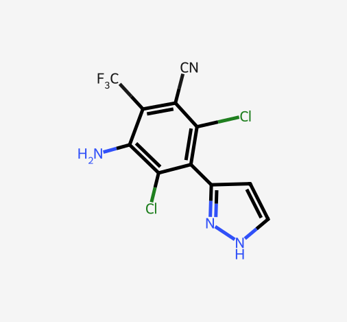 N#Cc1c(Cl)c(-c2cc[nH]n2)c(Cl)c(N)c1C(F)(F)F